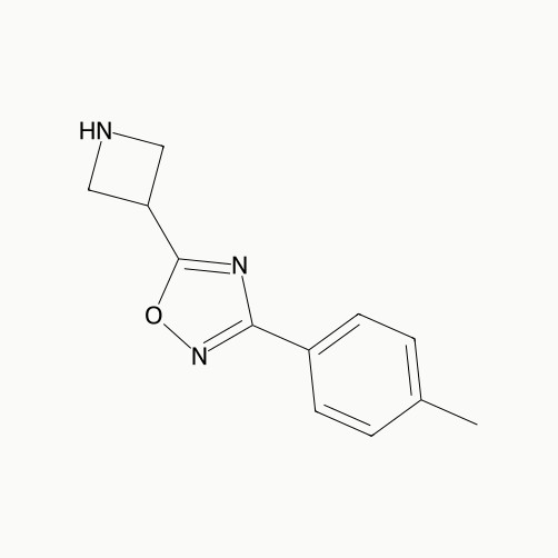 Cc1ccc(-c2noc(C3CNC3)n2)cc1